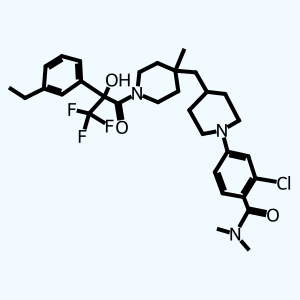 CCc1cccc(C(O)(C(=O)N2CCC(C)(CC3CCN(c4ccc(C(=O)N(C)C)c(Cl)c4)CC3)CC2)C(F)(F)F)c1